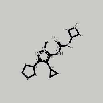 Cn1nc(C2CCCC2)c(C2CC2)c1NC(=O)OC1CSC1